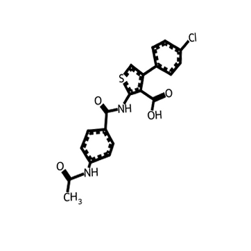 CC(=O)Nc1ccc(C(=O)Nc2scc(-c3ccc(Cl)cc3)c2C(=O)O)cc1